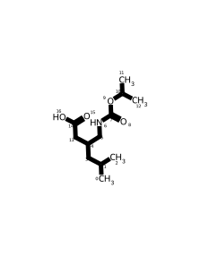 CC(C)CC(CNC(=O)OC(C)C)CC(=O)O